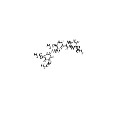 COc1cc(CNc2cc(-c3cn4nc(OC)ccc4n3)ccc2C)cc(OC)c1